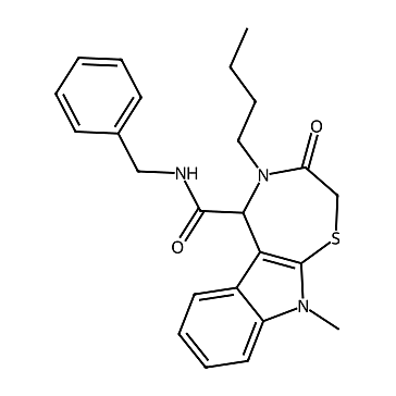 CCCCN1C(=O)CSc2c(c3ccccc3n2C)C1C(=O)NCc1ccccc1